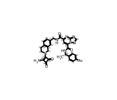 CC(=O)c1ccc([C@H](C)NC(=O)c2cc(C(=O)NCc3ccc4c(c3)CN(c3c(N)c(=O)c3=O)CC4)nc3ncnn23)cc1